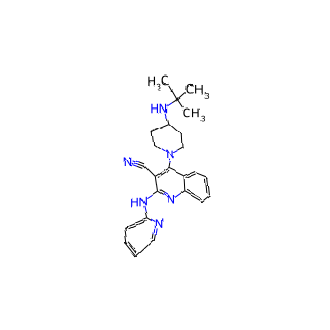 CC(C)(C)NC1CCN(c2c(C#N)c(Nc3ccccn3)nc3ccccc23)CC1